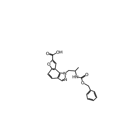 CC(Cn1ncc2ccc3oc(C(=O)O)cc3c21)NC(=O)OCc1ccccc1